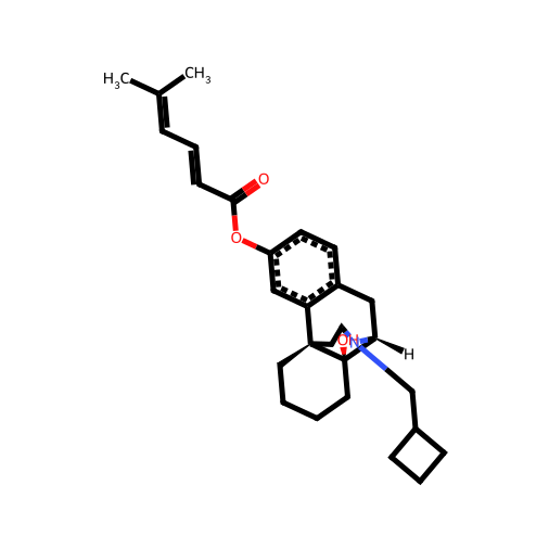 CC(C)=C/C=C/C(=O)Oc1ccc2c(c1)[C@@]13CCCC[C@@]1(O)[C@@H](C2)N(CC1CCC1)CC3